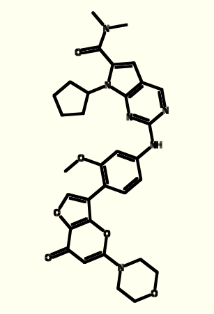 COc1cc(Nc2ncc3cc(C(=O)N(C)C)n(C4CCCC4)c3n2)ccc1-c1coc2c(=O)cc(N3CCOCC3)oc12